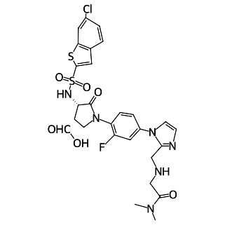 CN(C)C(=O)CNCc1nccn1-c1ccc(N2CC[C@H](NS(=O)(=O)c3cc4ccc(Cl)cc4s3)C2=O)c(F)c1.O=CO